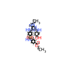 CCCOC(=O)c1ccc(NS(=O)(=O)c2ccc(Nc3nc(NC4CCC(O)CC4)nc4c3ncn4CC)cc2)cc1